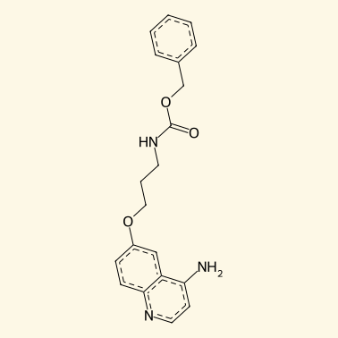 Nc1ccnc2ccc(OCCCNC(=O)OCc3ccccc3)cc12